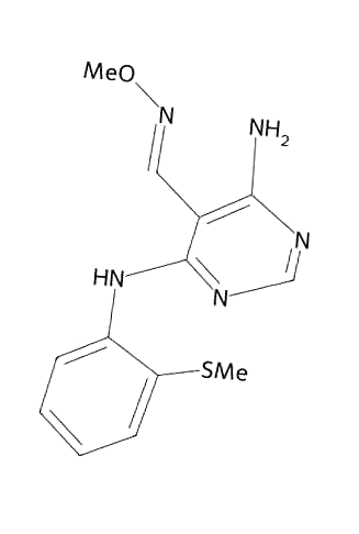 CO/N=C/c1c(N)ncnc1Nc1ccccc1SC